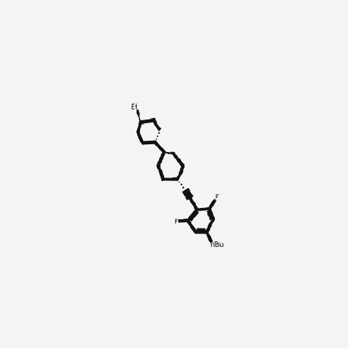 CCCCc1cc(F)c(C#C[C@H]2CC[C@H]([C@H]3CC[C@H](CC)CC3)CC2)c(F)c1